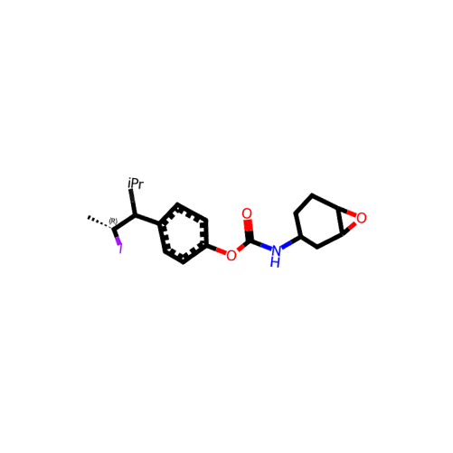 CC(C)C(c1ccc(OC(=O)NC2CCC3OC3C2)cc1)[C@@H](C)I